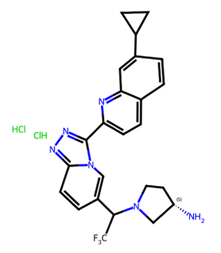 Cl.Cl.N[C@H]1CCN(C(c2ccc3nnc(-c4ccc5ccc(C6CC6)cc5n4)n3c2)C(F)(F)F)C1